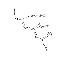 COc1ccc2cnc(F)nc2c1.Cl